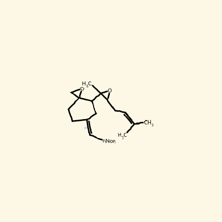 CCCCCCCCC/C=C1/CCC2(CO2)C(C2(C)OC2CC=C(C)C)C1